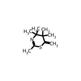 C=C1SC(C)=NC(C)(C)C1(C)C